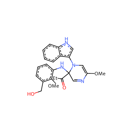 CCC(=O)C1(Nc2cccc(CO)c2OC)C=NC(OC)=CN1c1c[nH]c2ccccc12